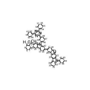 CC1(C)c2ccccc2-c2cc3c4ccc(-c5ccc6oc7cc8c(cc7c6c5)c5ccccc5n8-c5ccccc5)cc4n(-c4cccc(-c5nc(-c6ccccc6)nc(-c6ccccc6)n5)c4)c3cc21